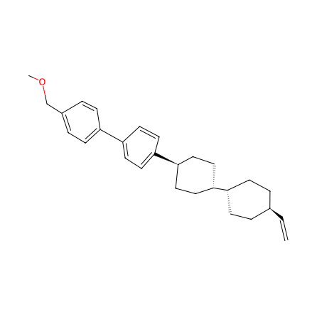 C=C[C@H]1CC[C@H]([C@H]2CC[C@H](c3ccc(-c4ccc(COC)cc4)cc3)CC2)CC1